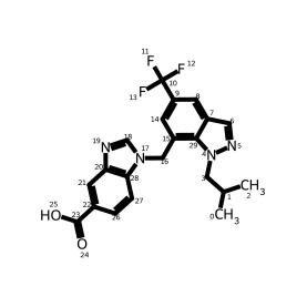 CC(C)Cn1ncc2cc(C(F)(F)F)cc(Cn3cnc4cc(C(=O)O)ccc43)c21